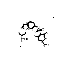 COc1cc(C)c(S(=O)(=O)Nc2ccc3ccn(CC(C)C(=O)O)c3c2)c(C)c1